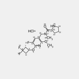 COc1nc(OC2CC(F)(F)C2)c(F)cc1CN(C)C(=O)[C@@H]1CCCN1.Cl